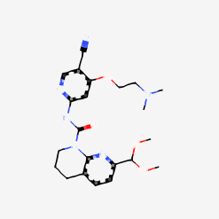 COC(OC)c1ccc2c(n1)N(C(=O)Nc1cc(OCCN(C)C)c(C#N)cn1)CCC2